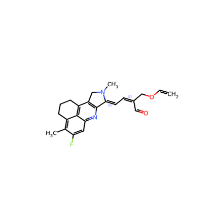 C=COC/C(C=O)=C/C=C1/c2nc3cc(F)c(C)c4c3c(c2CN1C)CCC4